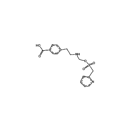 O=C(O)c1ccc(CCNCOS(=O)(=O)Cc2ccccn2)cc1